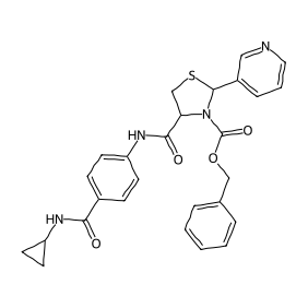 O=C(NC1CC1)c1ccc(NC(=O)C2CSC(c3cccnc3)N2C(=O)OCc2ccccc2)cc1